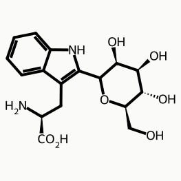 N[C@@H](Cc1c(C2O[C@H](CO)[C@@H](O)[C@H](O)[C@@H]2O)[nH]c2ccccc12)C(=O)O